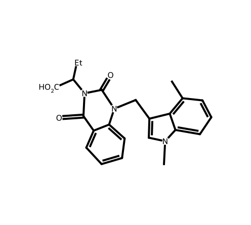 CCC(C(=O)O)n1c(=O)c2ccccc2n(Cc2cn(C)c3cccc(C)c23)c1=O